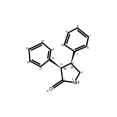 O=C1NC[C@H](c2ccccc2)[C@@H]1c1ccccc1